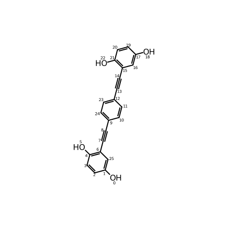 Oc1ccc(O)c(C#Cc2ccc(C#Cc3cc(O)ccc3O)cc2)c1